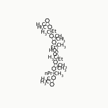 CCCC(C)(c1ccc2c(c1)C(C)(C)c1ccccc1-2)c1ccc2c(c1)C(C)(C)c1cc(C(C)(CC)CC(=O)/C=C(\O)CC(C)(CC)c3ccc4c(c3)C(C)(C)c3cc(C(C)(CC)c5ccc6c(c5)C(C)(C)c5ccccc5-6)ccc3-4)ccc1-2